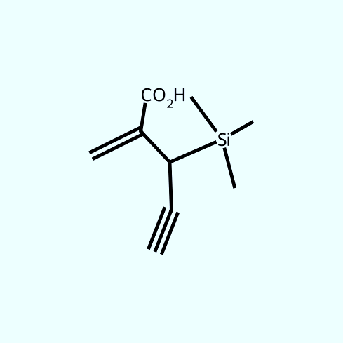 C#CC(C(=C)C(=O)O)[Si](C)(C)C